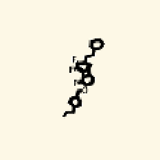 CCCC1CCC(COc2ccc3c(c2F)-c2c-3cc(CCC3CCCCC3)c(F)c2F)CC1